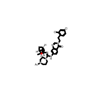 CC(=O)N1CCCN(C(=N[C@H]2C[C@@H]3C[C@H]([C@@H]2C)C3(C)C)Nc2ccc3c(=O)n(CCc4ccc(Cl)cc4Cl)cnc3c2)CC1